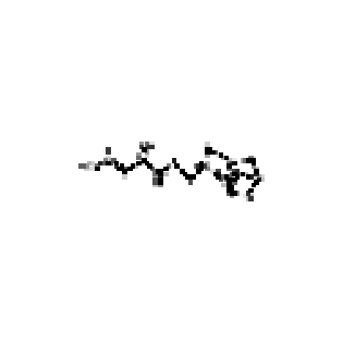 O=C(C=NO)NCCN1C=C2C3CC(CC2C3)C1